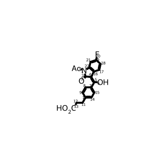 CC(=O)N1C(=O)/C(=C(/O)c2ccc(CCC(=O)O)cc2)c2ccc(F)cc21